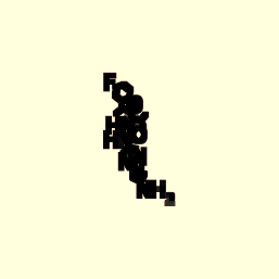 Cc1c([C@H](NC(=O)Nc2cnc(N3CC(N)C3)nc2)C(C)C)oc2ccc(F)cc12